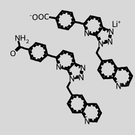 NC(=O)c1ccc(-c2ccc3nnn(Cc4ccc5ncccc5c4)c3n2)cc1.O=C([O-])c1ccc(-c2ccc3nnn(Cc4ccc5ncccc5c4)c3n2)cc1.[Li+]